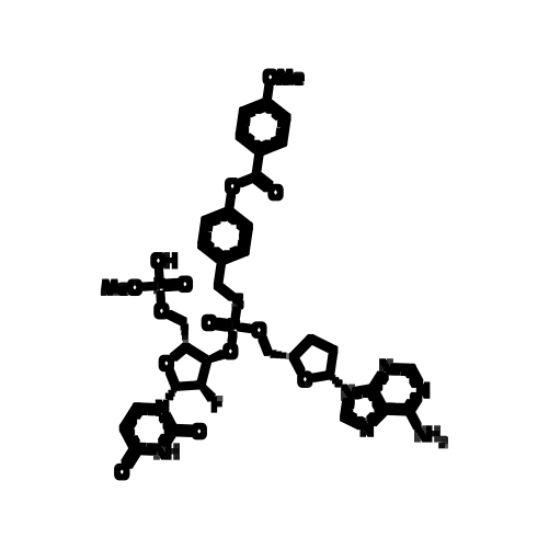 COc1ccc(C(=O)Oc2ccc(CSP(=O)(OC[C@@H]3CC[C@H](n4cnc5c(N)ncnc54)O3)O[C@H]3[C@@H](F)[C@H](n4ccc(=O)[nH]c4=O)O[C@@H]3COP(=O)(O)OC)cc2)cc1